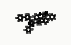 N#Cc1ccccc1-c1ccc2c(c1)C1(c3ccccc3Sc3ccccc31)c1cc(-c3cc(-c4cccc(-c5ccccc5)c4)nc(-c4ccccc4)n3)ccc1-2